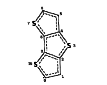 [c]1cc2sc3c[c]sc3c2s1